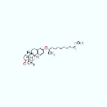 C=C(CCCCCCC/C=C\CCCCCCCC)Oc1ccc2c(c1)CC[C@@H]1[C@@H]2CCC2(C)C(=O)CC[C@@H]12